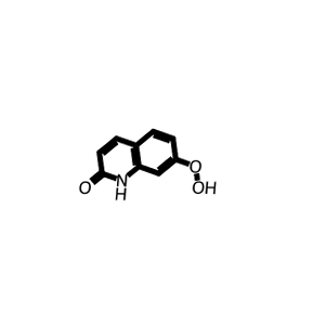 O=c1ccc2ccc(OO)cc2[nH]1